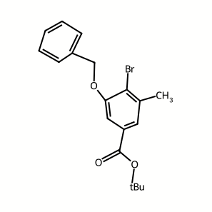 Cc1cc(C(=O)OC(C)(C)C)cc(OCc2ccccc2)c1Br